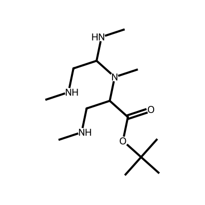 CNCC(NC)N(C)C(CNC)C(=O)OC(C)(C)C